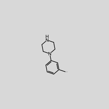 [CH2]c1cccc(N2CCNCC2)c1